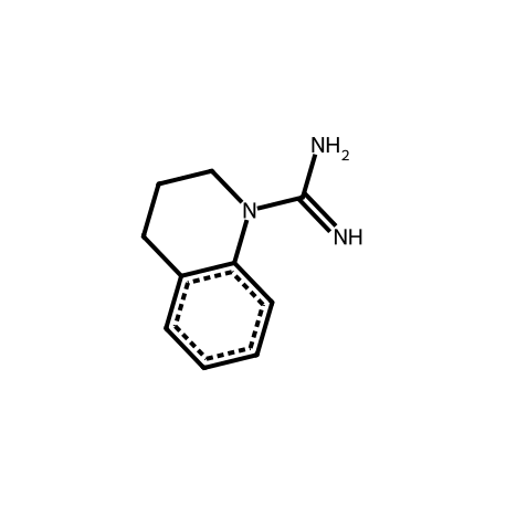 N=C(N)N1CCCc2ccccc21